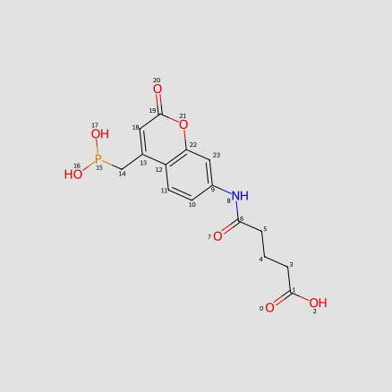 O=C(O)CCCC(=O)Nc1ccc2c(CP(O)O)cc(=O)oc2c1